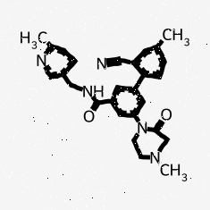 Cc1ccc(-c2cc(C(=O)NCc3ccc(C)nc3)cc(N3CCN(C)CC3=O)c2)c(C#N)c1